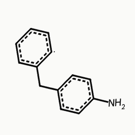 Nc1ccc(Cc2[c]cccc2)cc1